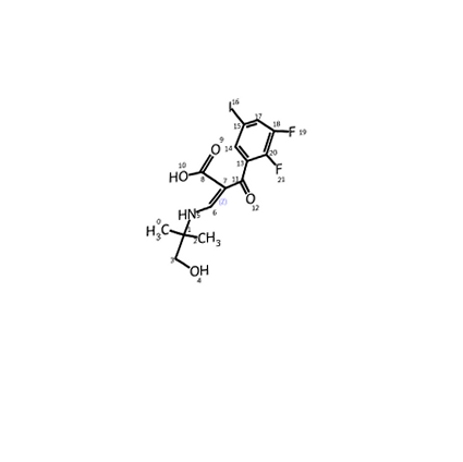 CC(C)(CO)N/C=C(\C(=O)O)C(=O)c1cc(I)cc(F)c1F